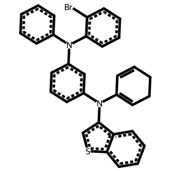 Brc1ccccc1N(c1ccccc1)c1cccc(N(C2=CCCC=C2)c2csc3ccccc23)c1